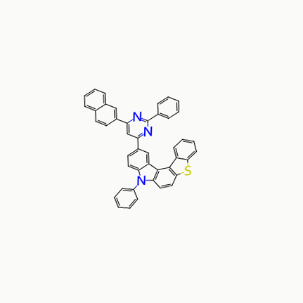 c1ccc(-c2nc(-c3ccc4ccccc4c3)cc(-c3ccc4c(c3)c3c5c(ccc3n4-c3ccccc3)sc3ccccc35)n2)cc1